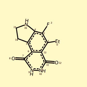 CCc1c(F)c2c(c3c(=O)[nH][nH]c(=O)c13)CCN2